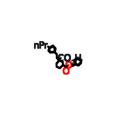 CCCc1ccc(CCC2(C(=O)O)CCCC(C(=O)OCc3ccccc3)C2)cc1